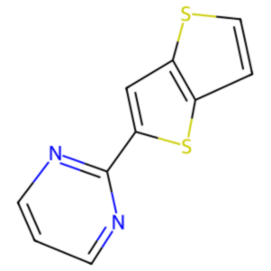 c1cnc(-c2cc3sccc3s2)nc1